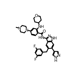 CN1CCN(c2ccc(C(=O)Nc3n[nH]c4cc(-c5cn[nH]c5)c(Cc5cc(F)cc(F)c5)cc34)c(NC3CCOCC3)c2)CC1